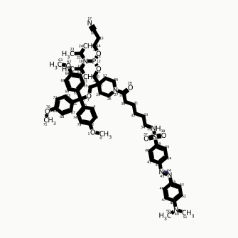 COc1ccc(C(OCC2(COP(OCCC#N)N(C(C)C)C(C)C)CCN(C(=O)CCCCCNS(=O)(=O)c3ccc(/N=N/c4ccc(N(C)C)cc4)cc3)CC2)(c2ccc(OC)cc2)c2ccc(OC)cc2)cc1